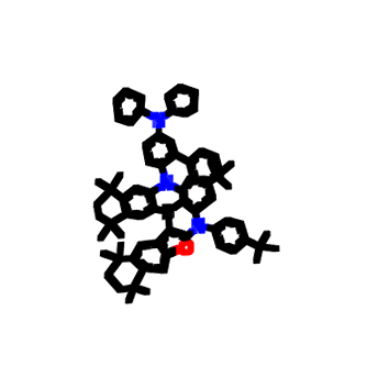 CC(C)(C)c1ccc(N2c3cc(C(C)(C)C)cc4c3B(c3cc5c(cc3N4c3ccc(N(c4ccccc4)c4ccccc4)cc3-c3ccccc3)C(C)(C)CCC5(C)C)c3c2oc2cc4c(cc32)C(C)(C)CCC4(C)C)cc1